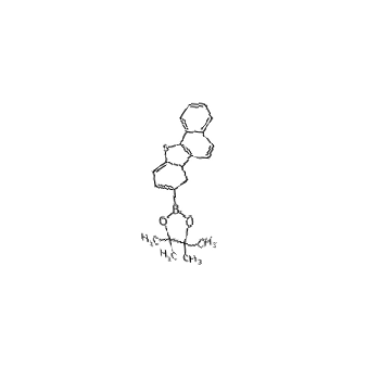 CC1(C)OB(C2=CC=C3Sc4c(ccc5ccccc45)C3C2)OC1(C)C